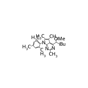 CCC(C)C(OC)c1nc(C)nc2c1c(C)c(C)n2-c1c(C)cc(C)cc1C